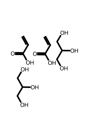 C=CC(=O)O.C=CC(=O)O.OCC(O)CO.OCC(O)CO